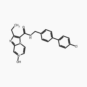 CCc1nc2c[n+](O)ccn2c1C(=O)NCc1ccc(-c2ccc(Cl)cc2)cc1